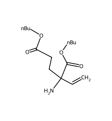 C=CC(N)(CCC(=O)OCCCC)C(=O)OCCCC